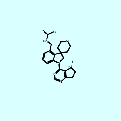 CCC(CC)NCc1cccc2c1C1(CCNCC1)CN2c1ncnc2c1[C@H](C)CC2